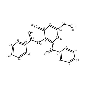 O=C(Oc1c(C(=O)c2ccccc2)oc(CO)cc1=O)c1ccccc1